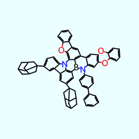 c1ccc(-c2ccc(N3B4c5c(cc6c(oc7ccccc76)c5-n5c6ccc(C78CC9CC(CC(C9)C7)C8)cc6c6cc(C78CC9CC(CC(C9)C7)C8)cc4c65)-c4cc5c(cc43)Oc3ccccc3O5)cc2)cc1